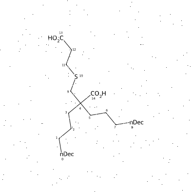 CCCCCCCCCCCCCC(CCCCCCCCCCCCC)(CSCCC(=O)O)C(=O)O